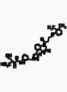 Cc1cccc(OCCCC(=O)N2C[C@@H]3C[C@@H]3c3c(-c4cnn(Cc5cccc(NC(=O)N[C@@H](CCO)C(=O)O)c5)c4)cccc32)c1C